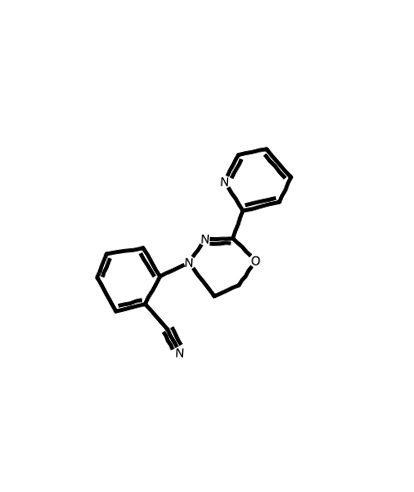 N#Cc1ccccc1N1CCOC(c2ccccn2)=N1